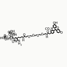 Nc1nc(=O)n([C@@H]2O[C@H](COP(=O)(O)O)C(OP(=O)(O)O)C2O)cc1CCCNC(=O)CCOCCOCCOCCOCCNC(=O)Cc1ccc(-c2c3ccc(=O)cc-3oc3cc(O)ccc23)c(C(=O)O)c1